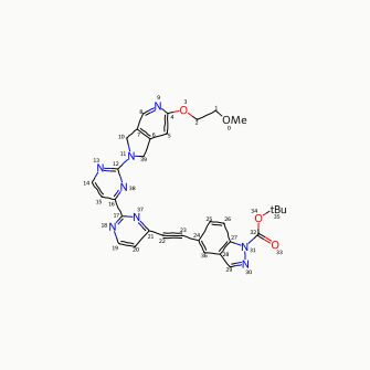 COCCOc1cc2c(cn1)CN(c1nccc(-c3nccc(C#Cc4ccc5c(cnn5C(=O)OC(C)(C)C)c4)n3)n1)C2